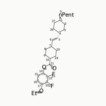 CCCCC[C@H]1CC[C@H](C=CC2CCC(C(=O)Oc3ccc(OCC)c(F)c3F)CC2)CC1